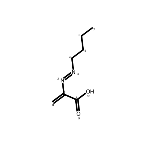 C=C(N=NCCCC)C(=O)O